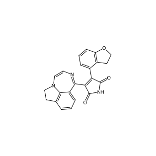 O=C1NC(=O)C(c2cccc3c2CCO3)=C1C1=NC=CN2CCc3cccc1c32